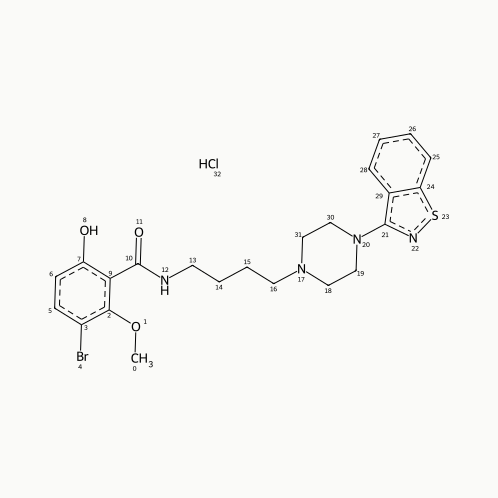 COc1c(Br)ccc(O)c1C(=O)NCCCCN1CCN(c2nsc3ccccc23)CC1.Cl